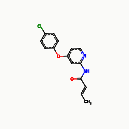 C/C=C/C(=O)Nc1cc(Oc2ccc(Cl)cc2)ccn1